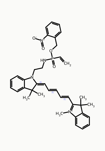 C=CP(=O)(NCCN1/C(=C/C=C/C=C/C2=[N+](C)c3ccccc3C2(C)C)C(C)(C)c2ccccc21)OCc1ccccc1[N+](=O)[O-]